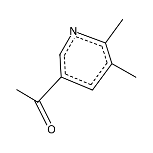 CC(=O)c1cnc(C)c(C)c1